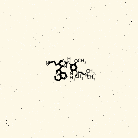 COc1cc(N(C)CCN(C)C)c(N)cc1Nc1ncc(CCC#N)c(-c2cn3c4c(cccc24)CCC3)n1